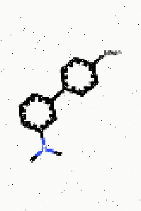 CNc1ccc(-c2cccc(N(C)C)c2)cc1